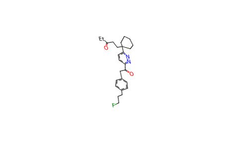 CCC(=O)CCC1(c2ccc(C(=O)Cc3ccc(CCCF)cc3)nn2)CCCCC1